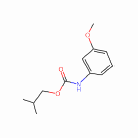 COc1c[c]cc(NC(=O)OCC(C)C)c1